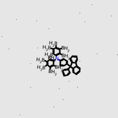 Bc1c(B)c(B)c(N(c2ccc(C3(c4ccccc4)c4ccccc4-c4ccccc43)cc2)c2c(B)c(B)c(B)c(B)c2B)c(B)c1B